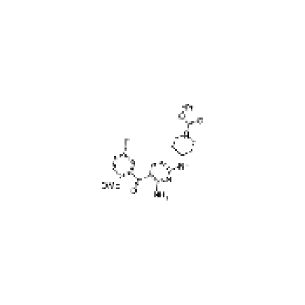 CCCOC(=O)N1CCC(Nc2ccc(C(=O)c3cc(F)ccc3OC)c(N)n2)CC1